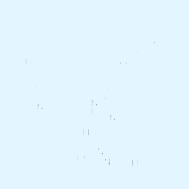 COC(=O)c1cc(CNC(=O)c2[nH]c3c(-c4c(C)nn(C)c4C)cccc3c2CCCOc2cc(C)c(Cl)c(C)c2)ccc1N1CCCCC1